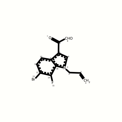 C=CCn1cc(C(=O)C=O)c2ccc(Br)c(F)c21